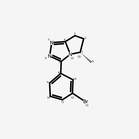 C[C@H]1CCc2nnc(-c3cccc(Br)c3)n21